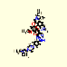 CCN(CC)CCOc1ccc(Oc2nc(Nc3ccc(N4CCN(CCN(C)C)CC4)cc3)ncc2C(=O)Nc2c(C)cccc2C)c(OC)c1